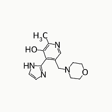 Cc1ncc(CN2CCOCC2)c(-c2ncc[nH]2)c1O